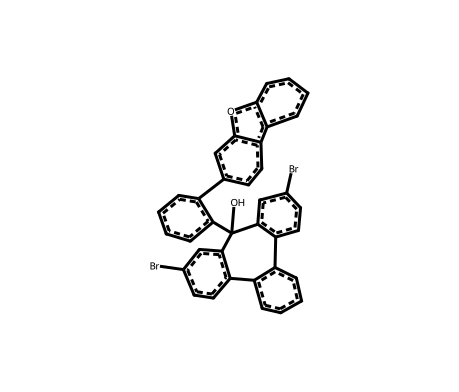 OC1(c2ccccc2-c2ccc3c(c2)oc2ccccc23)c2cc(Br)ccc2-c2ccccc2-c2ccc(Br)cc21